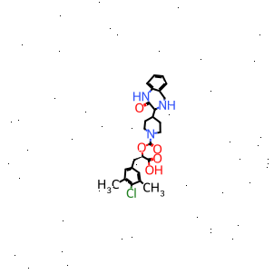 Cc1cc(C[C@@H](OC(=O)N2CCC(C3NCc4ccccc4NC3=O)CC2)C(=O)O)cc(C)c1Cl